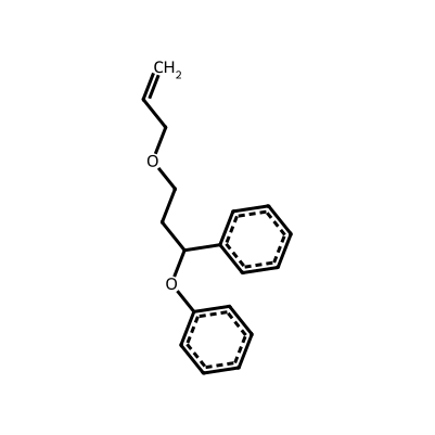 C=CCOCCC(Oc1ccccc1)c1ccccc1